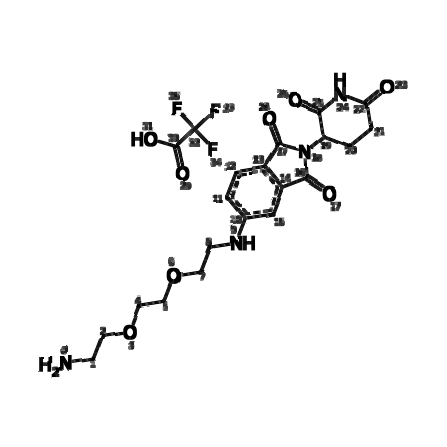 NCCOCCOCCNc1ccc2c(c1)C(=O)N(C1CCC(=O)NC1=O)C2=O.O=C(O)C(F)(F)F